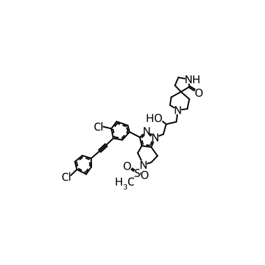 CS(=O)(=O)N1CCc2c(c(-c3ccc(Cl)c(C#Cc4ccc(Cl)cc4)c3)nn2CC(O)CN2CCC3(CCNC3=O)CC2)C1